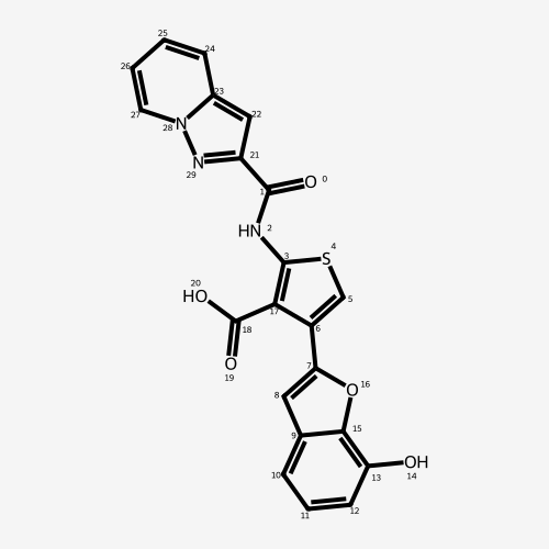 O=C(Nc1scc(-c2cc3cccc(O)c3o2)c1C(=O)O)c1cc2ccccn2n1